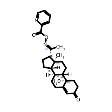 C/C(=N\OC(=O)c1ccccn1)[C@H]1CC[C@H]2[C@@H]3CCC4=CC(=O)CC[C@]4(C)[C@H]3CC[C@]12C